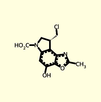 Cc1nc2c3c(cc(O)c2o1)N(C(=O)O)C[C@@H]3CCl